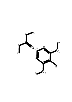 CCC(=O)CC.COc1cccc(OC)c1C